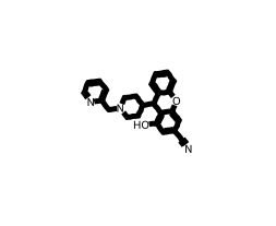 N#Cc1cc(O)c2c(c1)Oc1ccccc1C2C1CCN(Cc2ccccn2)CC1